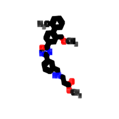 COCc1cc(-c2nc(-c3cccc(CNCCC(=O)OC)c3)no2)ccc1-c1ccccc1C